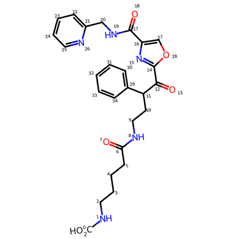 O=C(O)NCCCCC(=O)NCCC(C(=O)c1nc(C(=O)NCc2ccccn2)co1)c1ccccc1